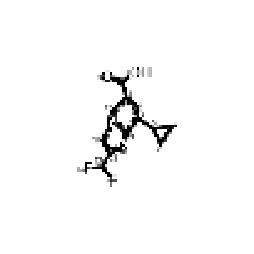 O=C(O)c1cc(C2CC2)c2nc(C(F)F)cn2c1